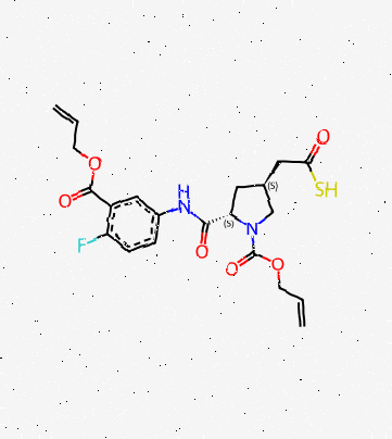 C=CCOC(=O)c1cc(NC(=O)[C@@H]2C[C@@H](CC(=O)S)CN2C(=O)OCC=C)ccc1F